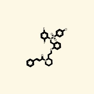 O=C(C=Cc1ccccc1)N1CCCCC1CCOc1ccccc1CN(c1cc(F)ccc1F)S(=O)(=O)c1ccc(Cl)cc1